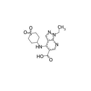 CCn1ncc2c(NC3CCS(=O)(=O)CC3)c(C(=O)O)cnc21